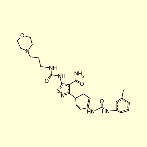 Cc1cccc(NC(=O)NC2=CCC(c3nsc(NC(=O)NCCCN4CCOCC4)c3C(N)=O)C=C2)c1